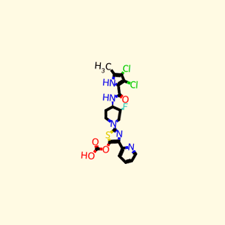 Cc1[nH]c(C(=O)N[C@@H]2CCN(c3nc(-c4ccccn4)c(OC(=O)O)s3)C[C@@H]2F)c(Cl)c1Cl